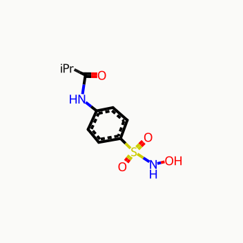 CC(C)C(=O)Nc1ccc(S(=O)(=O)NO)cc1